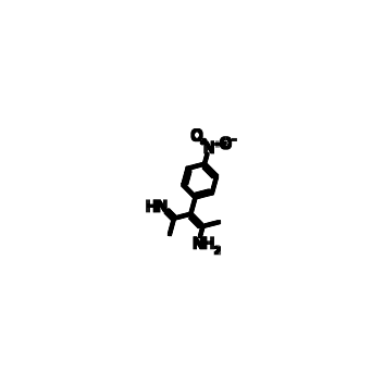 CC(=N)/C(=C(/C)N)c1ccc([N+](=O)[O-])cc1